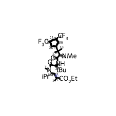 CCOC(=O)/C(C)=C/[C@H](C(C)C)N(C)C(=O)[C@@H](NC(=O)[C@@H](NC)C(C)(C)c1cc(C(F)(F)F)cc(C(F)(F)F)c1)C(C)(C)C